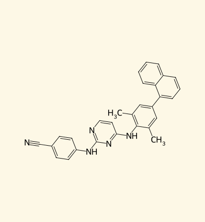 Cc1cc(-c2cccc3ccccc23)cc(C)c1Nc1ccnc(Nc2ccc(C#N)cc2)n1